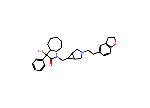 O=C(NCC1C2CN(CCc3ccc4c(c3)CCO4)CC12)C(O)(c1ccccc1)C1CCCCCC1